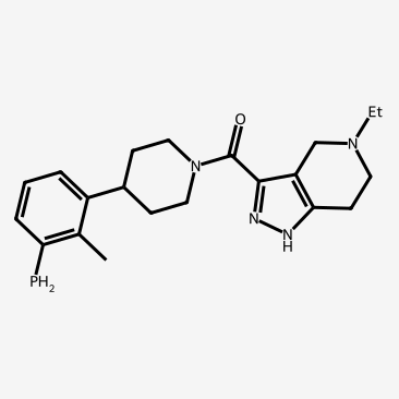 CCN1CCc2[nH]nc(C(=O)N3CCC(c4cccc(P)c4C)CC3)c2C1